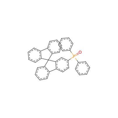 O=P(c1ccccc1)(c1ccccc1)c1ccc2c(c1)C1(c3ccccc3-c3ccccc31)c1ccccc1-2